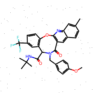 COc1ccc(CN2C(=O)c3cc4ccc(C)cc4nc3Oc3ccc(C(F)(F)F)cc3C2C(=O)NC(C)(C)C)cc1